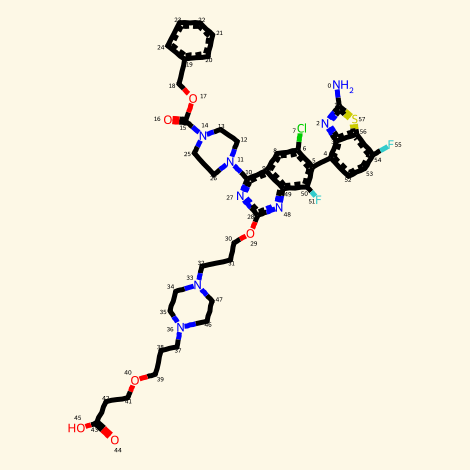 Nc1nc2c(-c3c(Cl)cc4c(N5CCN(C(=O)OCc6ccccc6)CC5)nc(OCCCN5CCN(CCCOCCC(=O)O)CC5)nc4c3F)ccc(F)c2s1